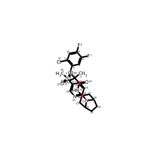 CC(C)(Oc1cc(F)c(F)cc1Cl)C(=O)NC1CC2CCC(C1)N2c1ccc(S(C)(=O)=O)cn1